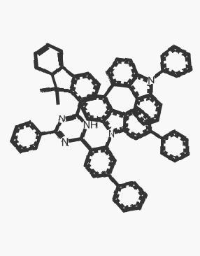 CC1(C)c2c(cccc2C2=NC(c3ccccc3)=NC(c3ccc(-c4ccccc4)cc3-n3c4cc(-c5ccccc5)ccc4c4c(-c5cccc6c5c5ccccc5n6-c5ccccc5)cccc43)N2)C2=CC=CCC21